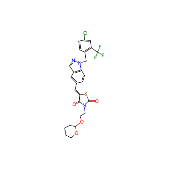 O=C1S/C(=C\c2ccc3c(cnn3Cc3ccc(Cl)cc3C(F)(F)F)c2)C(=O)N1CCOC1CCCCO1